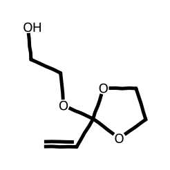 C=CC1(OCCO)OCCO1